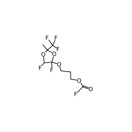 CC1(C(F)(F)F)OC(F)C(F)(OCCCOC(=O)F)O1